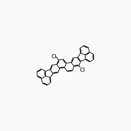 Clc1cc2c3cc4c(c(Cl)c3ccc2c2cc3c(cc12)-c1cccc2cccc-3c12)-c1cccc2cccc-4c12